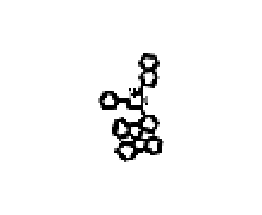 c1ccc(-c2cc(-c3cccc4c3-c3ccccc3C43c4ccccc4-c4ccccc43)nc(-c3ccc4ccccc4c3)n2)cc1